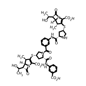 C[C@@H](O)[C@H]1C(=O)N2C(C(=O)O)=C(S[C@@H]3CN[C@H](C(=O)Nc4cccc(C(=O)N5C[C@@H](SC6=C(C(=O)O)N7C(=O)[C@H]([C@@H](C)O)[C@H]7[C@H]6C)C[C@H]5C(=O)Nc5cccc(C(=O)O)c5)c4)C3)[C@H](C)[C@H]12